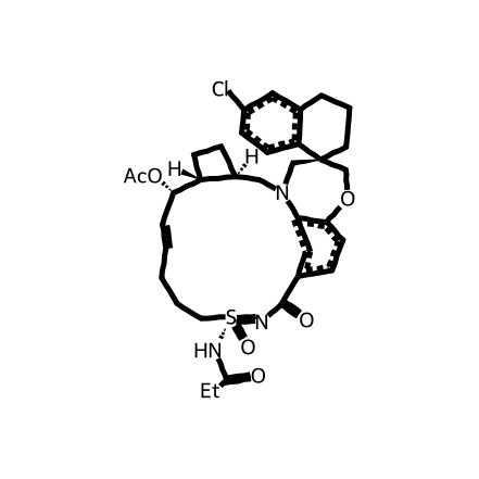 CCC(=O)N[S@@]1(=O)=NC(=O)c2ccc3c(c2)N(C[C@@H]2CC[C@H]2[C@@H](OC(C)=O)/C=C/CCC1)C[C@@]1(CCCc2cc(Cl)ccc21)CO3